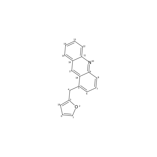 c1coc(Cc2cccc3nc4ccccc4cc23)c1